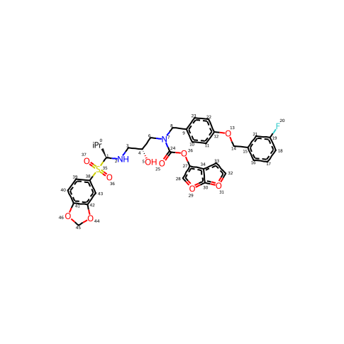 CC(C)[C@@H](NC[C@@H](O)CN(Cc1ccc(OCc2cccc(F)c2)cc1)C(=O)Oc1coc2occc12)S(=O)(=O)c1ccc2c(c1)OCO2